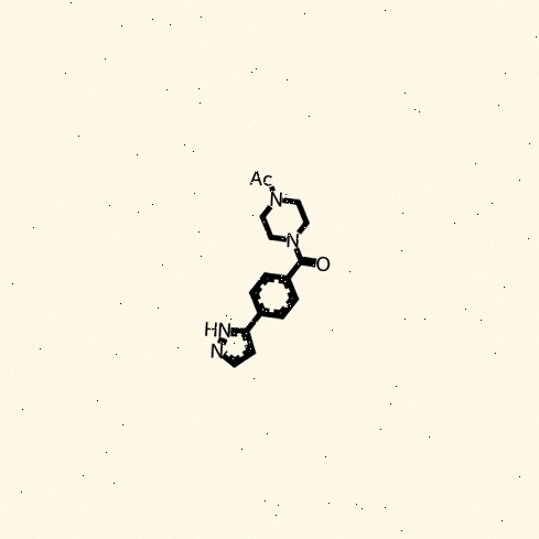 CC(=O)N1CCN(C(=O)c2ccc(-c3ccn[nH]3)cc2)CC1